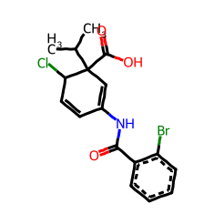 CC(C)C1(C(=O)O)C=C(NC(=O)c2ccccc2Br)C=CC1Cl